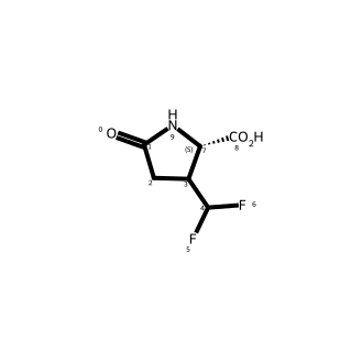 O=C1CC(C(F)F)[C@@H](C(=O)O)N1